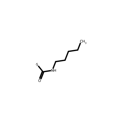 CCCCCNC(=O)[S]